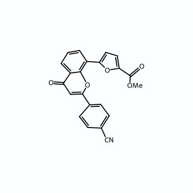 COC(=O)c1ccc(-c2cccc3c(=O)cc(-c4ccc(C#N)cc4)oc23)o1